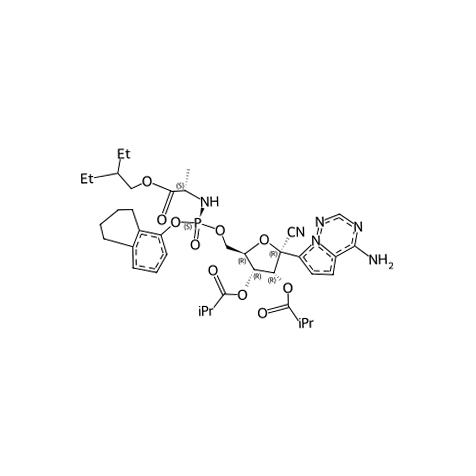 CCC(CC)COC(=O)[C@H](C)N[P@](=O)(OC[C@H]1O[C@@](C#N)(c2ccc3c(N)ncnn23)[C@H](OC(=O)C(C)C)[C@@H]1OC(=O)C(C)C)Oc1cccc2c1CCCC2